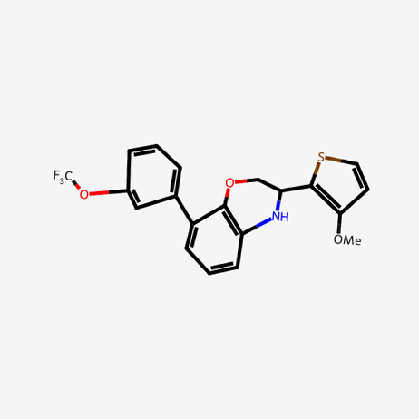 COc1ccsc1C1COc2c(cccc2-c2cccc(OC(F)(F)F)c2)N1